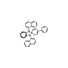 C1=CC(N(c2ccccc2)c2cccc3ccccc23)(N(c2ccccc2)c2cccc3ccccc23)CC=C1c1ccccc1